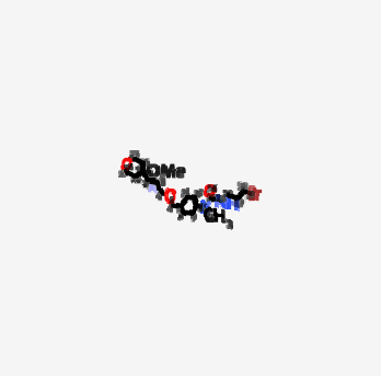 COC1(/C=C/COCc2ccc(N(C)C(=O)NCCCBr)cc2)CCOCC1